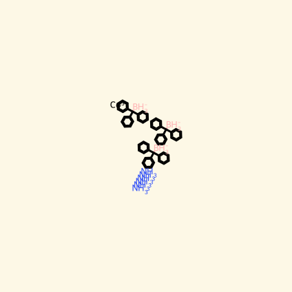 N.N.N.N.N.N.[BH3-]C(c1ccccc1)(c1ccccc1)c1ccccc1.[BH3-]C(c1ccccc1)(c1ccccc1)c1ccccc1.[BH3-]C(c1ccccc1)(c1ccccc1)c1ccccc1.[Co+3]